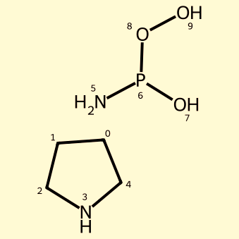 C1CCNC1.NP(O)OO